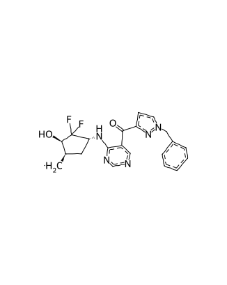 [CH2][C@@H]1C[C@@H](Nc2ncncc2C(=O)c2ccn(Cc3ccccc3)n2)C(F)(F)[C@@H]1O